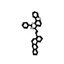 NC(NC(/C=C/c1cccc2c1ccc1cc3ccccc3cc12)c1ccc2oc3ccccc3c2c1)c1ccccc1